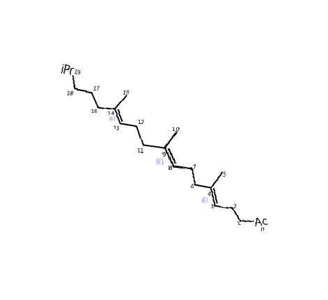 CC(=O)CC/C=C(\C)CC/C=C(\C)CC/C=C(\C)CCCC(C)C